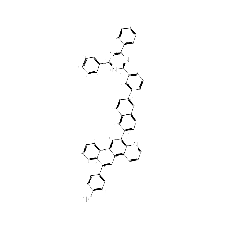 N#Cc1ccc(-c2cc3c4cccnc4c(-c4ccc5cc(-c6cccc(-c7nc(-c8ccccc8)nc(-c8ccccc8)n7)c6)ccc5c4)cc3c3ccccc23)cc1